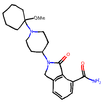 COC1(N2CCC(N3Cc4cccc(C(N)=O)c4C3=O)CC2)CCCCC1